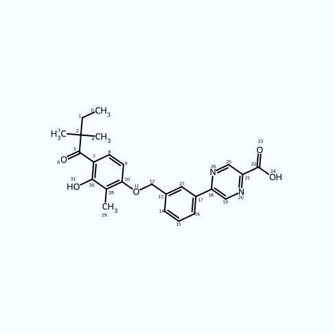 CCC(C)(C)C(=O)c1ccc(OCc2cccc(-c3cnc(C(=O)O)cn3)c2)c(C)c1O